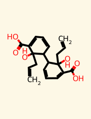 C=CCC1(O)C(C(=O)O)=CC=CC1C1C=CC=C(C(=O)O)C1(O)CC=C